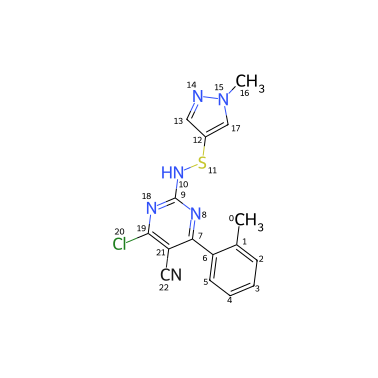 Cc1ccccc1-c1nc(NSc2cnn(C)c2)nc(Cl)c1C#N